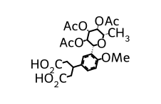 COc1ccc(C(CC(=O)O)CC(=O)O)cc1[C@H]1O[C@@H](C)[C@@H](OC(C)=O)[C@@H](OC(C)=O)[C@@H]1OC(C)=O